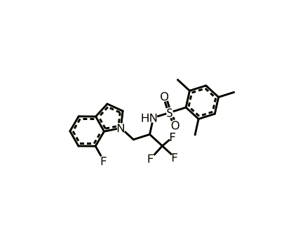 Cc1cc(C)c(S(=O)(=O)NC(Cn2ccc3cccc(F)c32)C(F)(F)F)c(C)c1